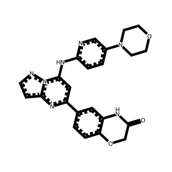 O=C1COc2ccc(-c3cc(Nc4ccc(N5CCOCC5)cn4)n4nccc4n3)cc2N1